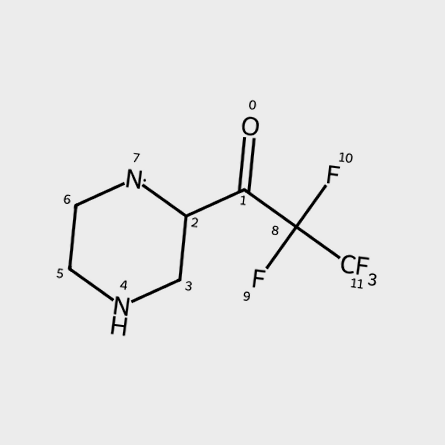 O=C(C1CNCC[N]1)C(F)(F)C(F)(F)F